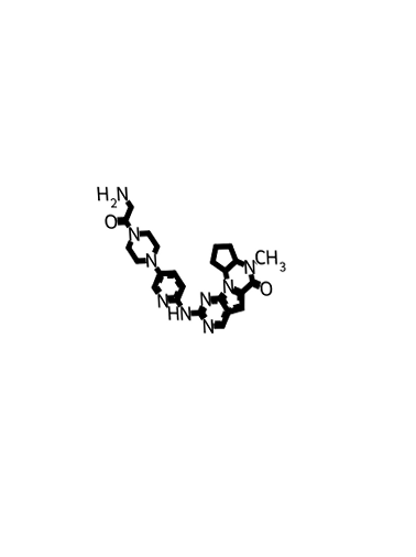 CN1C(=O)c2cc3cnc(Nc4ccc(N5CCN(C(=O)CN)CC5)cn4)nc3n2C2CCCC21